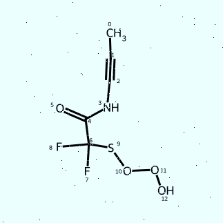 CC#CNC(=O)C(F)(F)SOOO